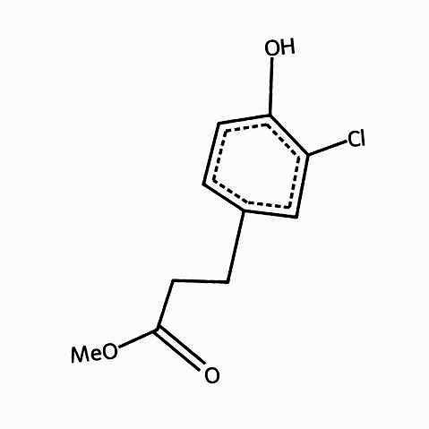 COC(=O)CCc1ccc(O)c(Cl)c1